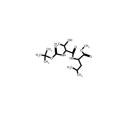 COC(=O)C(CC(C)C)NC(=O)C(NC(=O)OC(C)(C)C)C(C)O